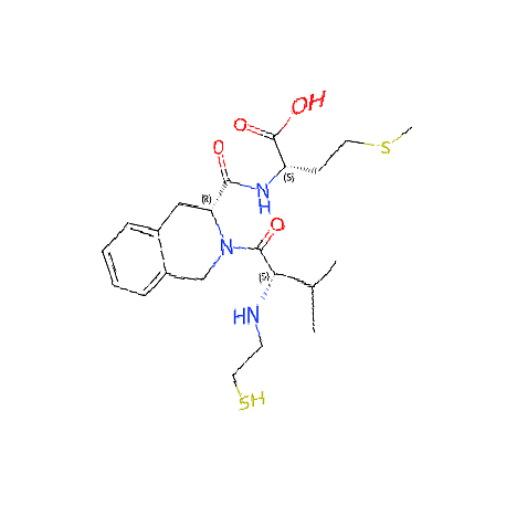 CSCC[C@H](NC(=O)[C@H]1Cc2ccccc2CN1C(=O)[C@@H](NCCS)C(C)C)C(=O)O